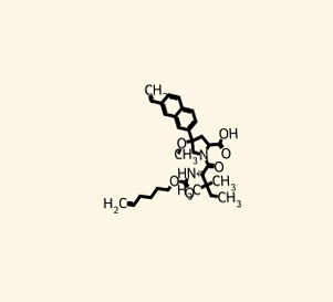 C=CCCCCOC(=O)N[C@H](C(=O)N1CC(OC)(c2ccc3ccc(C=C)cc3c2)CC1C(=O)O)C(C)(C)CC